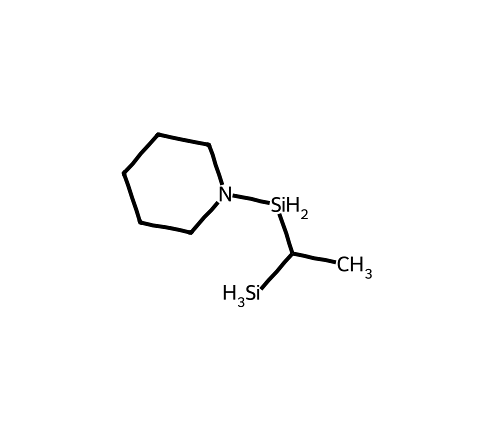 CC([SiH3])[SiH2]N1CCCCC1